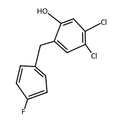 Oc1cc(Cl)c(Cl)cc1Cc1ccc(F)cc1